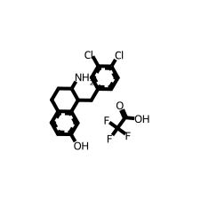 NC1CCc2ccc(O)cc2C1Cc1ccc(Cl)c(Cl)c1.O=C(O)C(F)(F)F